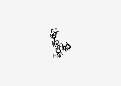 Cc1cccn2nc([C@@H]3c4nc[nH]c4CCN3C(=O)c3nnc(-c4cnn(C(F)(F)F)c4)o3)cc12